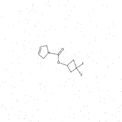 O=C(OC1CC(F)(F)C1)N1CC=CC1